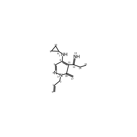 C=CCN1N=CC(NC2CC2)=C(C(=N)CC)C1=C